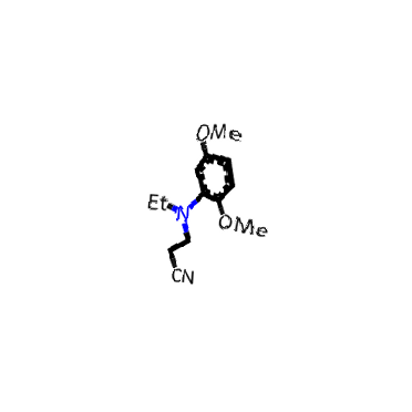 CCN(CCC#N)c1cc(OC)ccc1OC